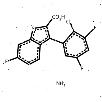 N.O=C(O)c1sc2cc(F)ccc2c1-c1cc(F)cc(F)c1Cl